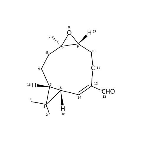 CC1(C)[C@@H]2CC[C@@]3(C)O[C@@H]3CC/C(C=O)=C\[C@@H]21